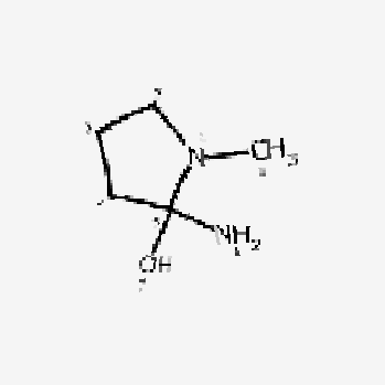 CN1CCCC1(N)O